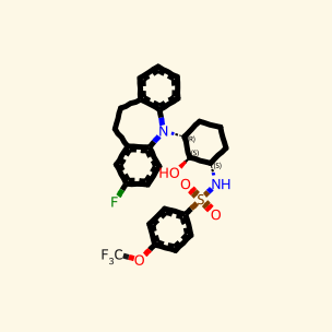 O=S(=O)(N[C@H]1CCC[C@@H](N2c3ccccc3CCc3cc(F)ccc32)[C@@H]1O)c1ccc(OC(F)(F)F)cc1